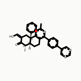 Cc1nc(-c2ccc(-c3cncnc3)cc2)c2c(n1)[C@@]1(c3ccccc3)C/C(=C/O)C(=O)[C@@H](C)[C@@H]1CC2